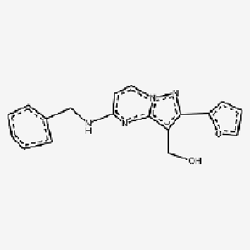 OCc1c(-c2ccco2)nn2ccc(NCc3ccccc3)nc12